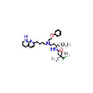 CC(C)(CC(=O)NC(CCN(CCCCc1ccc2c(n1)NCCC2)CCOc1ccccc1)C(=O)O)C(F)F